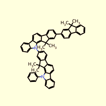 CC1(C)c2ccccc2-c2ccc(-c3ccc4c(c3)C(C)(C)c3c-4ccc4c5ccccc5n(-c5ccc6c(c5)C(C)(C)c5c-6ccc6c7ccccc7n(-c7ccccc7)c56)c34)cc21